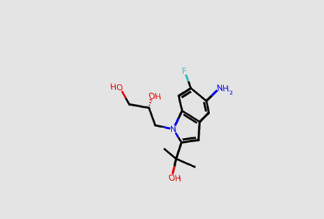 CC(C)(O)c1cc2cc(N)c(F)cc2n1C[C@@H](O)CO